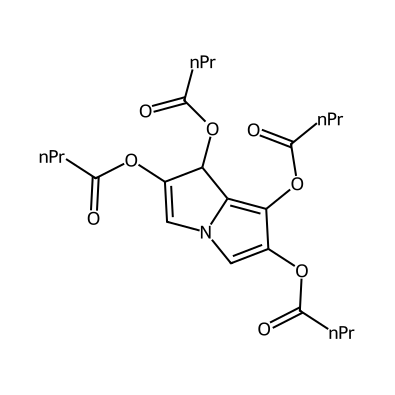 CCCC(=O)OC1=Cn2cc(OC(=O)CCC)c(OC(=O)CCC)c2C1OC(=O)CCC